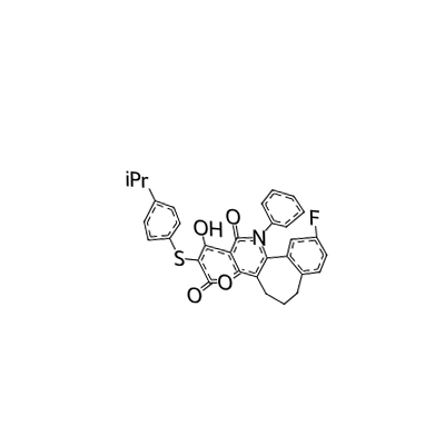 CC(C)c1ccc(Sc2c(O)c3c(=O)n(-c4ccccc4)c4c(c3oc2=O)CCCc2ccc(F)cc2-4)cc1